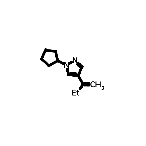 C=C(CC)c1cnn(C2CCCC2)c1